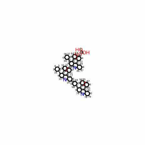 OB(O)O.c1ccc(-c2ccc3nc4ccccc4c(-c4ccccc4)c3c2-c2ccccc2)cc1.c1ccc(-c2ccc3nc4ccccc4c(-c4ccccc4)c3c2-c2ccccc2)cc1.c1ccc(-c2ccc3nc4ccccc4c(-c4ccccc4)c3c2-c2ccccc2)cc1